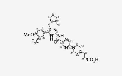 COc1ccc(C2=C(CN3CCCC3C)SC(NC(=O)c3cnc(N4CCN(CCC(=O)O)CC4)cn3)N2)cc1C(F)(F)F